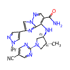 CC(C)n1cc(-c2cn3ncc(C(N)=O)c(N[C@@H]4CN(c5ncc(C#N)cn5)C[C@H]4C)c3n2)cn1